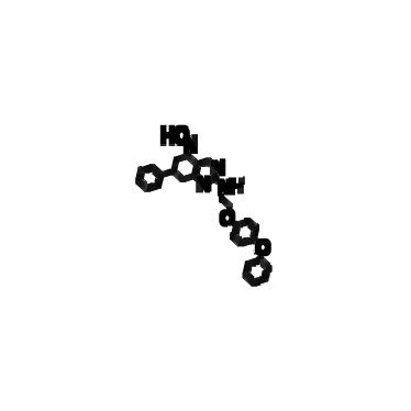 O/N=C1\CC(c2ccccc2)Cc2nc(NCCOc3ccc(Oc4ccccc4)cc3)ncc21